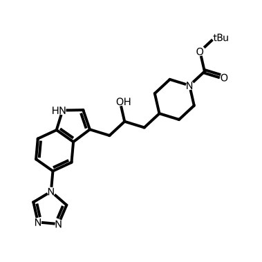 CC(C)(C)OC(=O)N1CCC(CC(O)Cc2c[nH]c3ccc(-n4cnnc4)cc23)CC1